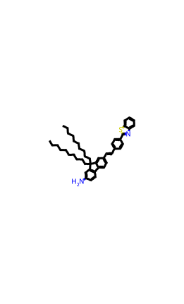 CCCCCCCCCCC1(CCCCCCCCCC)c2cc(N)ccc2-c2ccc(/C=C/c3ccc(-c4nc5ccccc5s4)cc3)cc21